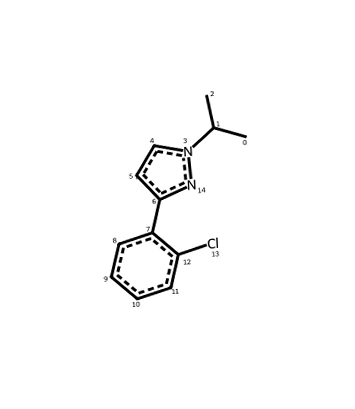 CC(C)n1c[c]c(-c2ccccc2Cl)n1